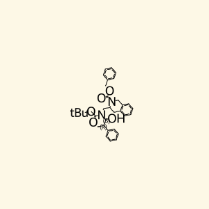 C[C@H](c1ccccc1)[C@H](O)N(CC1Cc2ccccc2CN1C(=O)OCc1ccccc1)C(=O)OC(C)(C)C